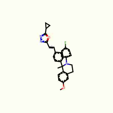 COc1ccc2c(c1)CCN(c1ccc(F)cc1)C2(C)c1ccc(/C=C/c2nnc(C3CC3)o2)cc1